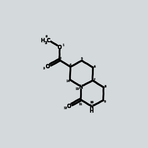 COC(=O)C1CCC2CCNC(=O)N2C1